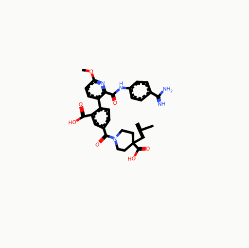 C=C(C)CC1(C(=O)O)CCN(C(=O)c2ccc(-c3ccc(OC)nc3C(=O)Nc3ccc(C(=N)N)cc3)c(C(=O)O)c2)CC1